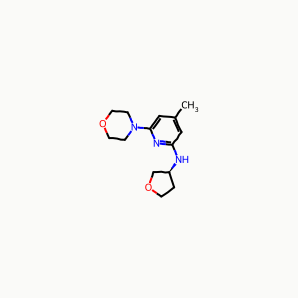 Cc1cc(N[C@H]2CCOC2)nc(N2CCOCC2)c1